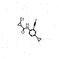 CC#Cc1cc(C2CC2)ccc1NC(=O)C1CC1CC